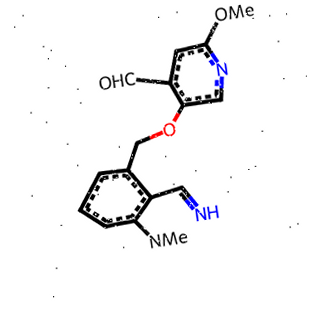 CNc1cccc(COc2cnc(OC)cc2C=O)c1C=N